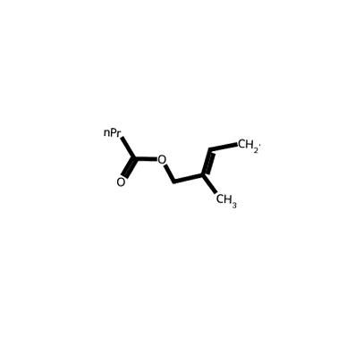 [CH2]C=C(C)COC(=O)CCC